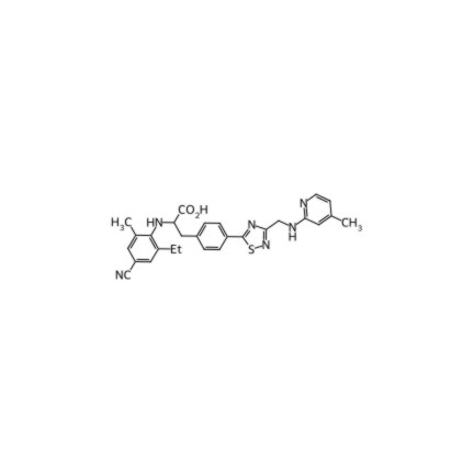 CCc1cc(C#N)cc(C)c1NC(Cc1ccc(-c2nc(CNc3cc(C)ccn3)ns2)cc1)C(=O)O